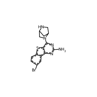 Nc1nc(N2CC3CC2CN3)c2sc3ccc(Br)cc3c2n1